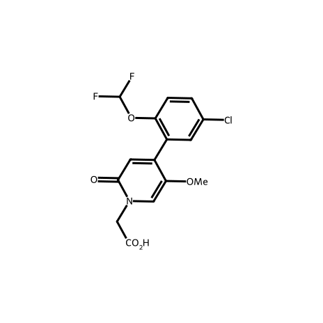 COc1cn(CC(=O)O)c(=O)cc1-c1cc(Cl)ccc1OC(F)F